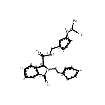 O=C(NCc1cccc(OC(F)F)c1)C1c2ccccc2C(=O)N1CCc1ccccc1